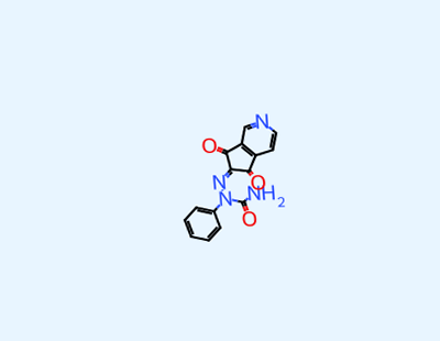 NC(=O)N(/N=c1\c(=O)c2ccncc2c1=O)c1ccccc1